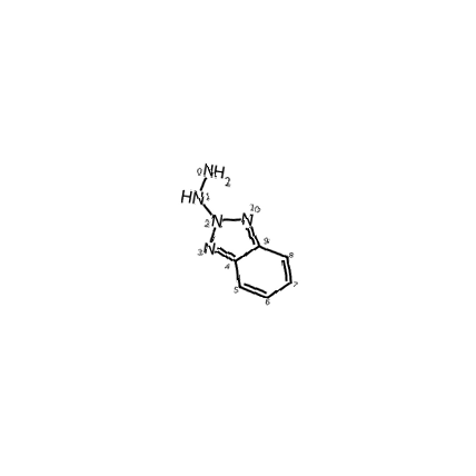 NNn1nc2ccccc2n1